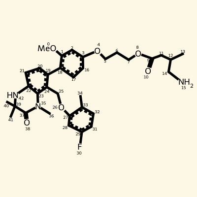 COc1cc(OCCCOC(=O)CC(C)CN)ccc1-c1ccc2c(c1COc1cc(F)ccc1C)N(C)C(=O)C(C)(C)N2